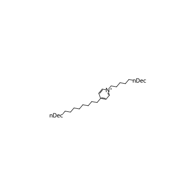 CCCCCCCCCCCCCCCCCCc1cc[n+](CCCCCCCCCCCCCCC)cc1